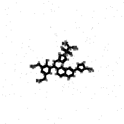 COc1cc(OC)c(F)c(N(Cc2ccn(S(=O)(=O)N(C)C)n2)C2CC=c3ncc(-c4cnn(C)c4)cc3=N2)c1